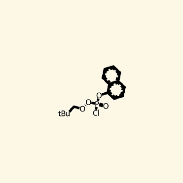 CC(C)(C)COOP(=O)(Cl)Oc1cccc2ccccc12